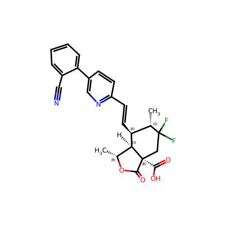 C[C@H]1OC(=O)[C@]2(C(=O)O)CC(F)(F)[C@@H](C)[C@H](C=Cc3ccc(-c4ccccc4C#N)cn3)[C@H]12